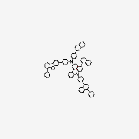 c1ccc(-c2ccc(-c3ccc(N(c4ccc(-c5cccc6ccccc56)cc4)c4ccccc4-c4cccc(N(c5ccc(-c6ccc7ccccc7c6)cc5)c5ccc(-c6ccc7c(c6)oc6c(-c8ccccc8)cccc67)cc5)c4)cc3)c3ccccc23)cc1